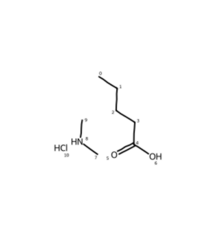 CCCCC(=O)O.CNC.Cl